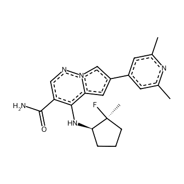 Cc1cc(-c2cc3c(N[C@@H]4CCC[C@]4(C)F)c(C(N)=O)cnn3c2)cc(C)n1